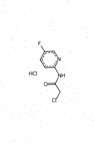 Cl.O=C(CCl)Nc1ccc(F)cn1